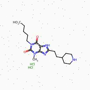 Cl.Cl.Cn1c(=O)n(CCCCC(=O)O)c(=O)c2[nH]c(CCC3CCNCC3)nc21